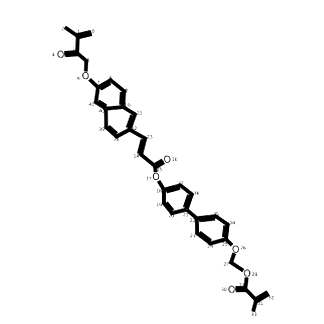 C=C(C)C(=O)COc1ccc2cc(/C=C/C(=O)Oc3ccc(-c4ccc(OCOC(=O)C(=C)C)cc4)cc3)ccc2c1